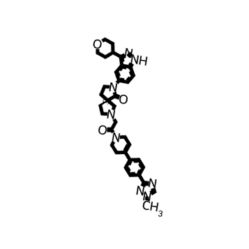 Cn1cnc(-c2ccc(C3=CCN(C(=O)CN4CC[C@]5(CCN(c6ccc7[nH]nc(C8CCOCC8)c7c6)C5=O)C4)CC3)cc2)n1